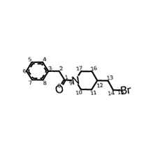 O=C(Cc1ccccc1)N1CCC(CCBr)CC1